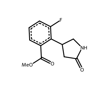 COC(=O)c1cccc(F)c1C1CNC(=O)C1